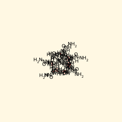 NCCNC(=O)C1CN(CC2O[C@@H]3O[C@@H]4C(CN5CC(C(=O)NCCN)NN5)O[C@@H](O[C@H]5C(CN6CC(C(=O)NCCN)N=N6)O[C@@H](O[C@H]6C(CN7CC(C(=O)NCN)N=N7)O[C@@H](O[C@@H]7C(CN8CC(C(=O)NCCN)N=N8)O[C@H](O[C@@H]8C(CN9CC(C(=O)NCN)N=N9)C[C@H](O[C@@H]9C(CN%10CC(C(=O)NCCN)N=N%10)O[C@H](O[C@H]2[C@H](O)C3O)C(O)[C@H]9O)C(O)[C@H]8O)C(O)[C@H]7O)C(O)[C@H]6O)C(O)[C@H]5O)C(O)[C@H]4O)N=N1